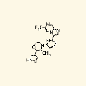 CC1C(c2cn[nH]c2)OCCN1c1ccnc(-c2cnc3cnc(C(F)(F)F)cn23)n1